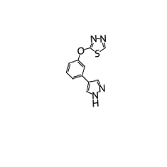 c1cc(Oc2nncs2)cc(-c2cn[nH]c2)c1